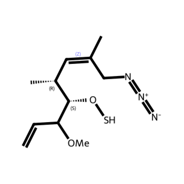 C=CC(OC)[C@@H](OS)[C@H](C)/C=C(/C)CN=[N+]=[N-]